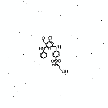 O=Cc1c(Cl)nc(Nc2ccc(S(=O)(=O)NCCO)cc2)nc1Nc1ccccc1